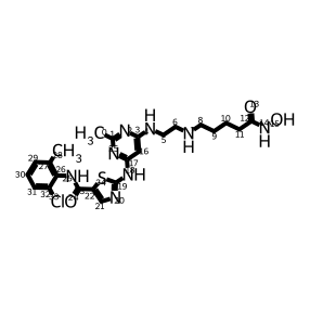 Cc1nc(NCCNCCCCC(=O)NO)cc(Nc2ncc(C(=O)Nc3c(C)cccc3Cl)s2)n1